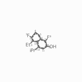 CCc1c(F)ccc2c(F)c(O)cc(C(C)C)c12